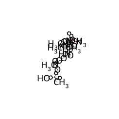 CCC(=C(c1ccc(O)cc1)c1ccc(OCCN(C)C(=O)COCCOCCNC(=O)c2ccc(C(=O)N3c4cc(C#N)ccc4N(Cc4c(OC)ccc5ccccc45)C(=O)[C@@H](NC(=O)[C@H](C)NC)[C@@H]3C)cc2)cc1)c1ccccc1